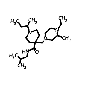 CCC(C)N1CCC(CN2CCN(CC)C(C)C2)(C(=O)NCC(C)C)CC1